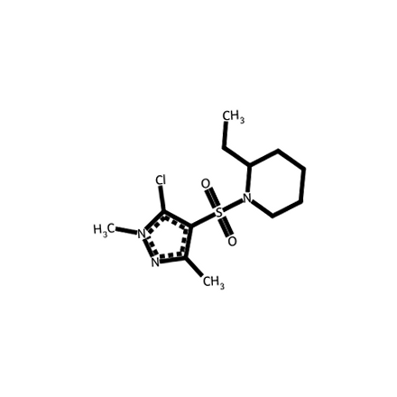 CCC1CCCCN1S(=O)(=O)c1c(C)nn(C)c1Cl